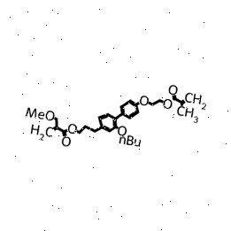 C=C(C)C(=O)OCCOc1ccc(-c2ccc(CCCOC(=O)C(=C)COC)cc2OCCCC)cc1